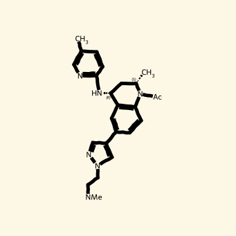 CNCCn1cc(-c2ccc3c(c2)[C@H](Nc2ccc(C)cn2)C[C@H](C)N3C(C)=O)cn1